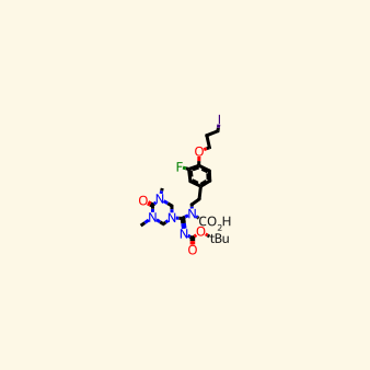 CN1CN(C(=NC(=O)OC(C)(C)C)N(CCc2ccc(OCCCI)c(F)c2)C(=O)O)CN(C)C1=O